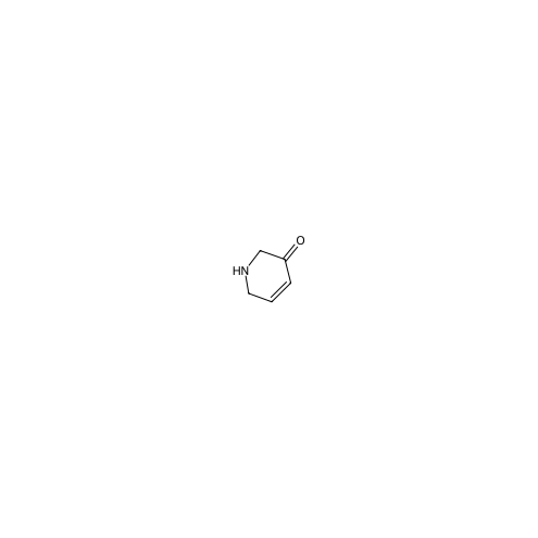 O=C1C=CCNC1